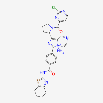 N[N+]12C=CN=CC1=C(C1CCCN1C(=O)c1ccnc(Cl)n1)N=C2c1ccc(C(=O)Nc2nc3c(s2)CCCC3)cc1